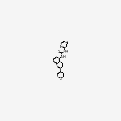 O=C(Nc1cnccn1)Nc1ccnc2cc(C3=CCOCC3)ccc12